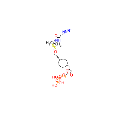 CC(C)(CNC(=O)CCCN=[N+]=[N-])SSCOCC#CC1CCCCCC(C[C@H]2CC(=O)[C@@H](COPOP(=O)(O)OP(O)O)O2)CCCC1